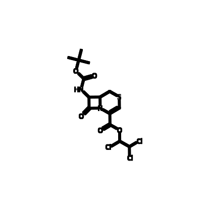 CC(C)(C)OC(=O)NC1C(=O)N2C(C(=O)OC(Cl)C(Cl)Cl)=CSCC12